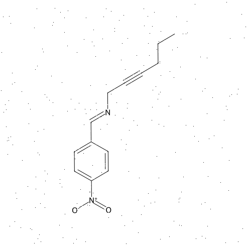 CCCC#CC/N=C/c1ccc([N+](=O)[O-])cc1